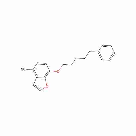 N#Cc1ccc(OCCCCCc2ccccc2)c2occc12